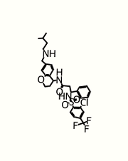 CC(C)CCNCc1ccc2c(c1)OCCC2NC(=O)CC(NS(=O)(=O)c1ccc(C(F)(F)F)cc1Cl)c1ccccc1